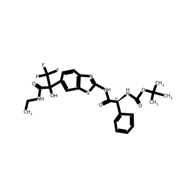 CCNC(=O)C(O)(c1ccc2nc(NC(=O)[C@@H](NC(=O)OC(C)(C)C)c3ccccc3)sc2c1)C(F)(F)F